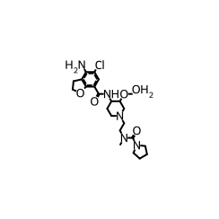 COC1CN(CCN(C)C(=O)N2CCCC2)CCC1NC(=O)c1cc(Cl)c(N)c2c1OCC2.O